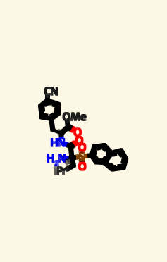 COC(=O)[C@H](Cc1ccc(C#N)cc1)NC(=O)[C@@](N)(CC(C)C)S(=O)(=O)c1ccc2ccccc2c1